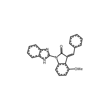 COc1cccc2c1C(=Cc1ccccc1)C(=O)N2c1nc2ccccc2[nH]1